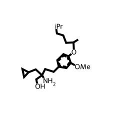 COc1cc(CCC(N)(CO)CC2CC2)ccc1OC(C)CCCC(C)C